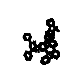 CC1(C)c2ccccc2-c2ccc(-c3ccc(-c4cccc5c6ccccc6n(-c6cc(C7=NC(c8ccccc8)=CC(c8ccccc8)N7)cc(-c7ccccc7)c6)c45)cc3)cc21